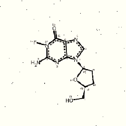 Nc1nc2c(ncn2[C@H]2CC[C@@H](CO)O2)c(=O)n1F